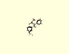 CCCCC(Cc1ccc(C)cc1)C(O)c1cccnc1